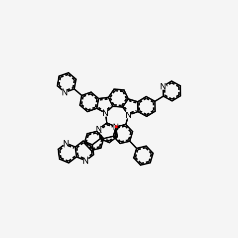 c1ccc(-c2cc(-c3ccccc3)cc(-n3c4ccc(-c5ccccn5)cc4c4ccc5c6cc(-c7ccccn7)ccc6n(-c6nccc(-c7cnc8cccnc8c7)n6)c5c43)c2)cc1